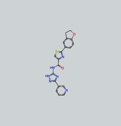 O=C(Nc1nc(-c2cccnc2)n[nH]1)c1csc(-c2ccc3c(c2)CCO3)n1